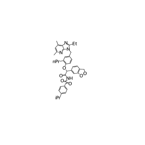 CCCc1cc(Cn2c(CC)nc3c(C)cc(C)nc32)ccc1OC(C(=O)NS(=O)(=O)c1ccc(C(C)C)cc1)c1ccc2c(c1)OOC2